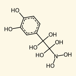 Oc1ccc(C(O)(O)C(O)(O)N(O)O)cc1O